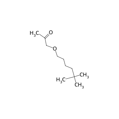 CC(=O)COCCCCC(C)(C)C